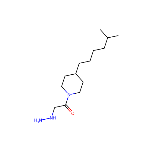 CC(C)CCCCC1CCN(C(=O)CNN)CC1